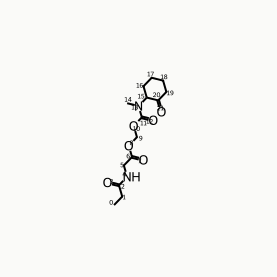 CCC(=O)NCC(=O)OCOC(=O)N(C)C1CCCCC1=O